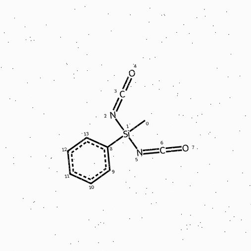 C[Si](N=C=O)(N=C=O)c1ccccc1